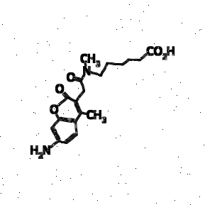 Cc1c(CC(=O)N(C)CCCCCC(=O)O)c(=O)oc2cc(N)ccc12